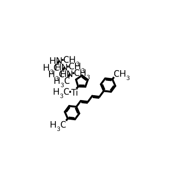 CNC.CNC.CNC.Cc1ccc(C=CC=Cc2ccc(C)cc2)cc1.[CH3][Ti][C]1=CC=CC1